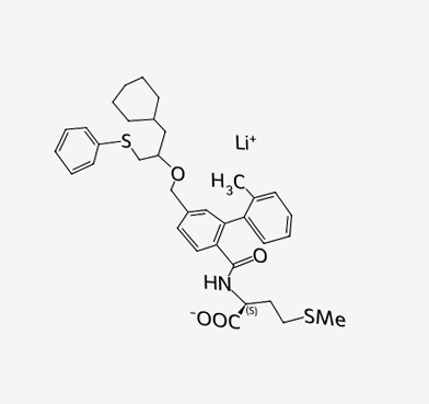 CSCC[C@H](NC(=O)c1ccc(COC(CSc2ccccc2)CC2CCCCC2)cc1-c1ccccc1C)C(=O)[O-].[Li+]